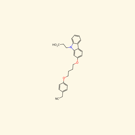 N#CCc1ccc(OCCCCOc2ccc3c4ccccc4n(CCC(=O)O)c3c2)cc1